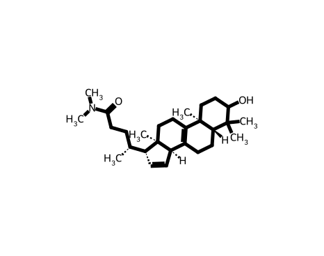 C[C@H](CCC(=O)N(C)C)[C@H]1C=C[C@@H]2C3=C(CC[C@@]21C)[C@@]1(C)CCC(O)C(C)(C)[C@@H]1CC3